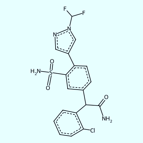 NC(=O)C(c1ccc(-c2cnn(C(F)F)c2)c(S(N)(=O)=O)c1)c1ccccc1Cl